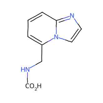 O=C(O)NCc1cccc2nccn12